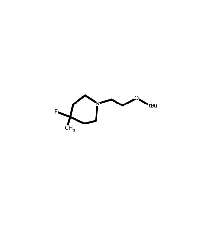 CC1(F)CCN(CCOC(C)(C)C)CC1